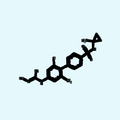 CC1(NS(=O)(=O)c2ccc(-c3c(Cl)cc(NC(S)=NC#N)cc3C(F)(F)F)cc2)CC1